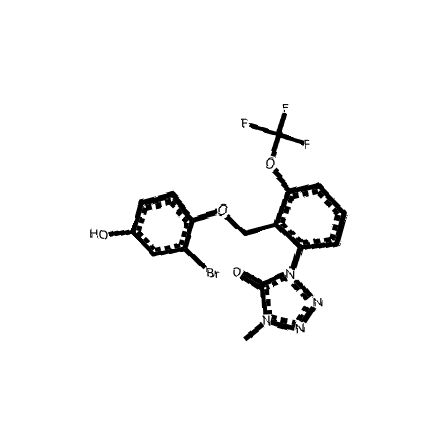 Cn1nnn(-c2cccc(OC(F)(F)F)c2COc2ccc(O)cc2Br)c1=O